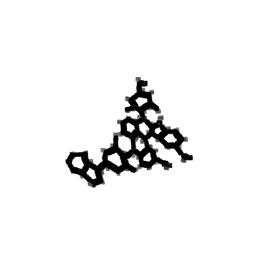 Cc1cc(-c2csc3ccccc23)cc(C)c1N1c2ccc(C(C)(C)C)cc2B2c3c1cccc3N(c1c(C)cc(C(C)(C)C)cc1C)c1oc3ccc(C(C)(C)C)cc3c12